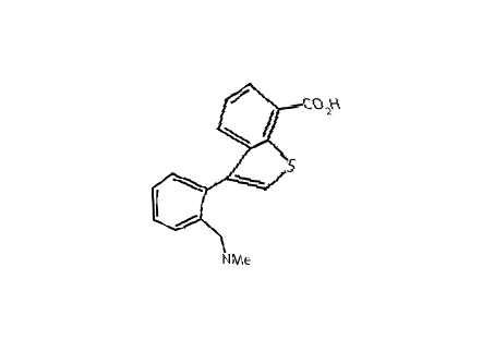 CNCc1ccccc1-c1csc2c(C(=O)O)cccc12